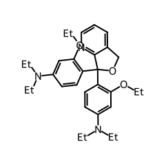 CCOc1cc(N(CC)CC)ccc1C1(c2ccc(N(CC)CC)cc2OCC)OCc2cccnc21